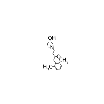 Cc1cccc(C)c1CC(=O)CCN1CC[C@@H](O)C1